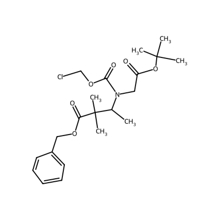 CC(N(CC(=O)OC(C)(C)C)C(=O)OCCl)C(C)(C)C(=O)OCc1ccccc1